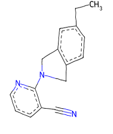 CCc1ccc2c(c1)CN(c1ncccc1C#N)C2